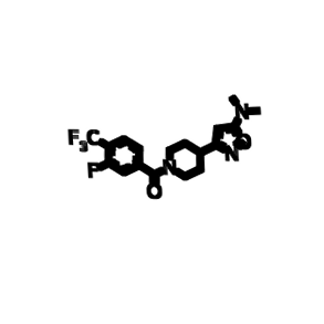 CN(C)c1cc(C2CCN(C(=O)c3ccc(C(F)(F)F)c(F)c3)CC2)no1